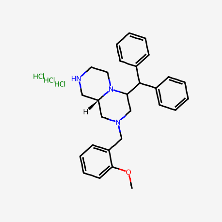 COc1ccccc1CN1CC(C(c2ccccc2)c2ccccc2)N2CCNC[C@H]2C1.Cl.Cl.Cl